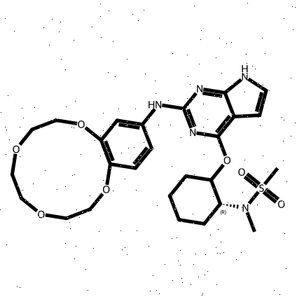 CN([C@@H]1CCCCC1Oc1nc(Nc2ccc3c(c2)OCCOCCOCCO3)nc2[nH]ccc12)S(C)(=O)=O